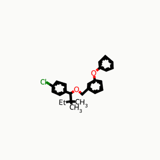 CCC(C)(C)C(OCc1cccc(Oc2ccccc2)c1)c1ccc(Cl)cc1